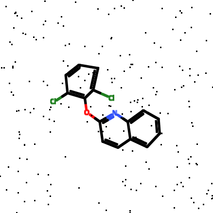 Clc1cccc(Cl)c1Oc1ccc2c[c]ccc2n1